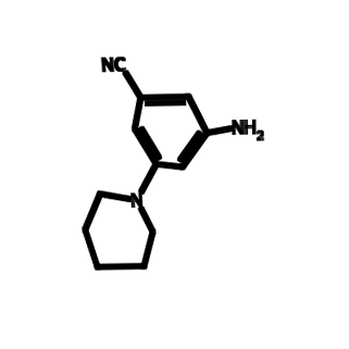 N#Cc1cc(N)cc(N2CCCCC2)c1